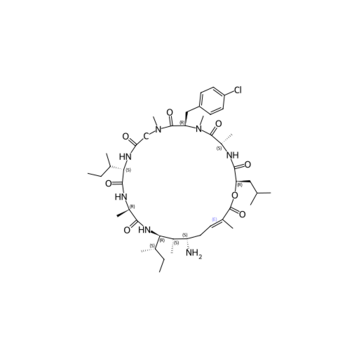 CCC(C)[C@@H]1NC(=O)CN(C)C(=O)[C@@H](Cc2ccc(Cl)cc2)N(C)C(=O)[C@H](C)NC(=O)[C@@H](CC(C)C)OC(=O)/C(C)=C/C[C@H](N)[C@H](C)[C@@H]([C@@H](C)CC)NC(=O)[C@@H](C)NC1=O